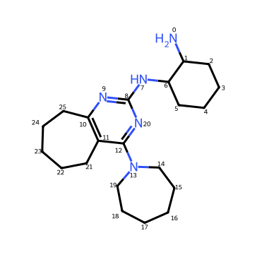 NC1CCCCC1Nc1nc2c(c(N3CCCCCC3)n1)CCCCC2